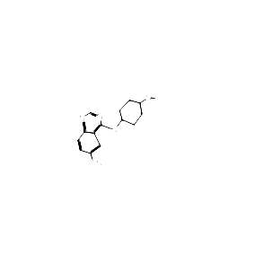 N#Cc1ccc2ncnc(NC3CCC(NC(=O)O)CC3)c2c1